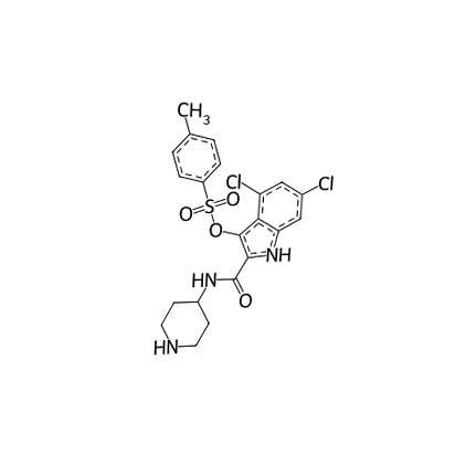 Cc1ccc(S(=O)(=O)Oc2c(C(=O)NC3CCNCC3)[nH]c3cc(Cl)cc(Cl)c23)cc1